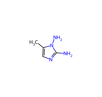 Cc1cnc(N)n1N